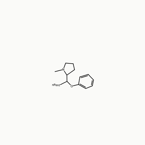 CCCCCC(Oc1ccccc1)C1CCCN1C